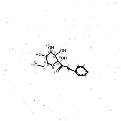 O=C(/C=C/c1ccccc1)[C@@]1(O)O[C@H](CO)[C@@H](O)[C@H](O)[C@H]1O